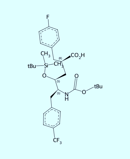 CC(C)(C)OC(=O)N[C@@H](Cc1ccc(C(F)(F)F)cc1)[C@H](C[C@@H](Cc1ccc(F)cc1)C(=O)O)O[Si](C)(C)C(C)(C)C